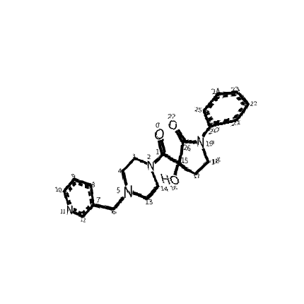 O=C(N1CCN(Cc2cccnc2)CC1)C1(O)CCN(c2ccccc2)C1=O